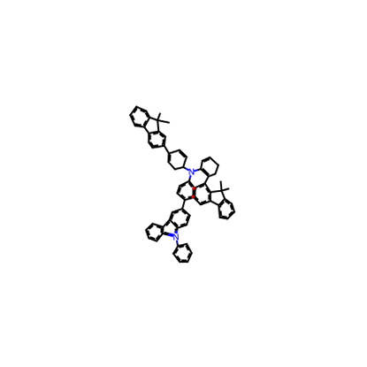 CC1(C)c2ccccc2-c2ccc(C3=CCC(N(C4=C(c5cccc6c5C(C)(C)c5ccccc5-6)CCC=C4)c4ccc(-c5ccc6c(c5)c5ccccc5n6-c5ccccc5)cc4)C=C3)cc21